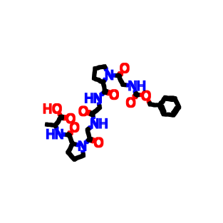 CC(NC(=O)C1CCCN1C(=O)CNC(=O)CNC(=O)C1CCCN1C(=O)CNC(=O)OCc1ccccc1)C(=O)O